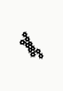 c1ccc(-c2cccc(N(c3ccccc3)c3ccc4c5cccc6c(N(c7ccccc7)c7cccc(-c8ccccc8)c7)ccc(c7cccc3c74)c65)c2)cc1